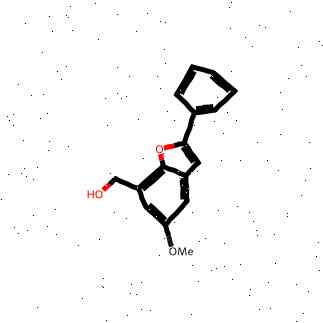 COc1cc(CO)c2oc(-c3ccccc3)cc2c1